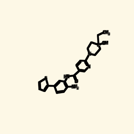 CC[P]1(O)CCN(c2ccc(C(=O)Nc3cc(-c4cccs4)ccc3N)cn2)CC1